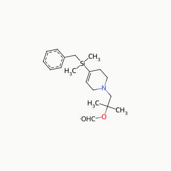 CC(C)(CN1CC=C([Si](C)(C)Cc2ccccc2)CC1)O[C]=O